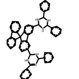 c1ccc(C2=NC(c3ccccc3)NC(c3ccc4c(c3)-c3cc(C5NC(c6ccccc6)NC(c6ccccc6)N5)ccc3C43c4ccccc4-c4ccccc43)N2)cc1